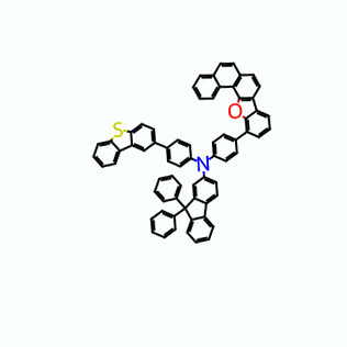 c1ccc(C2(c3ccccc3)c3ccccc3-c3ccc(N(c4ccc(-c5ccc6sc7ccccc7c6c5)cc4)c4ccc(-c5cccc6c5oc5c6ccc6ccc7ccccc7c65)cc4)cc32)cc1